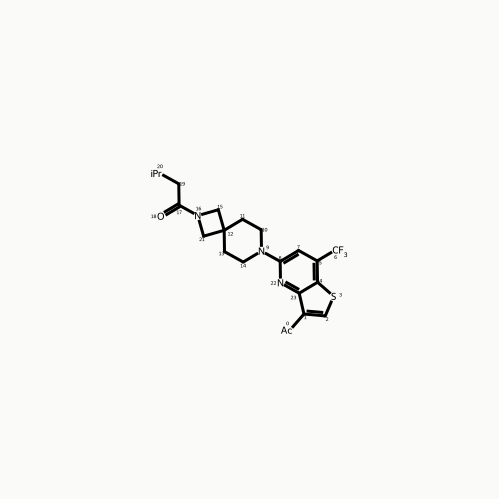 CC(=O)c1csc2c(C(F)(F)F)cc(N3CCC4(CC3)CN(C(=O)CC(C)C)C4)nc12